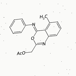 CC(=O)OCc1nc2cccc(C)c2/c(=N/c2ccccc2)o1